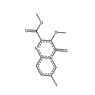 COC(=O)c1nc2ccc(I)cn2c(=O)c1OC